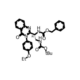 CCOc1ccc(-n2c([C@@H](CNC(=O)OC(C)(C)C)NC(=O)OCc3ccccc3)nc3ccccc3c2=O)cc1